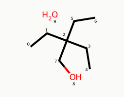 CCC(CC)(CC)CO.O